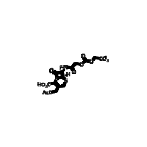 CC(=O)OCC1=C(C(=O)O)N2C(=O)[C@@H](NC(=O)COC(=O)OCC(Cl)(Cl)Cl)[C@H]2SC1